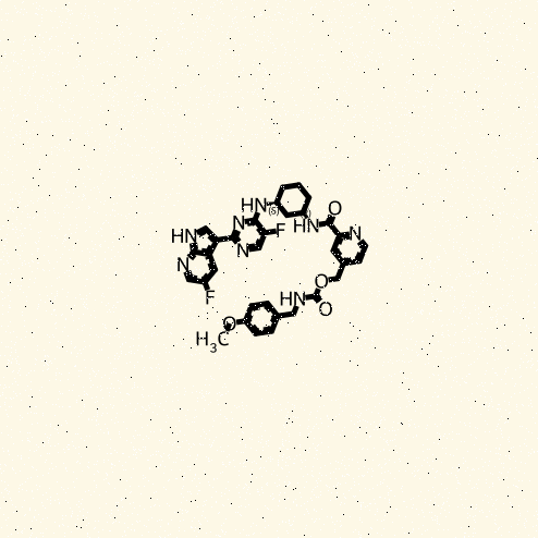 COc1ccc(CNC(=O)OCc2ccnc(C(=O)N[C@@H]3CCC[C@H](Nc4nc(-c5c[nH]c6ncc(F)cc56)ncc4F)C3)c2)cc1